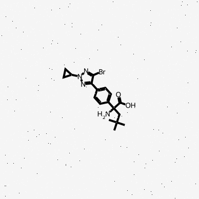 CC(C)(C)CC(N)(C(=O)O)c1ccc(-c2nn(C3CC3)nc2Br)cc1